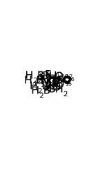 BC(B)(B)/N=c1\c(F)cn(S(=O)(=O)c2ccccc2)c(=O)n1C(B)(B)B